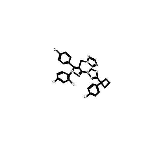 Clc1ccc(-c2c(Cn3cncn3)c(N3COC(C4(c5ccc(Cl)cc5)CCC4)=N3)nn2-c2ccc(Cl)cc2Cl)cc1